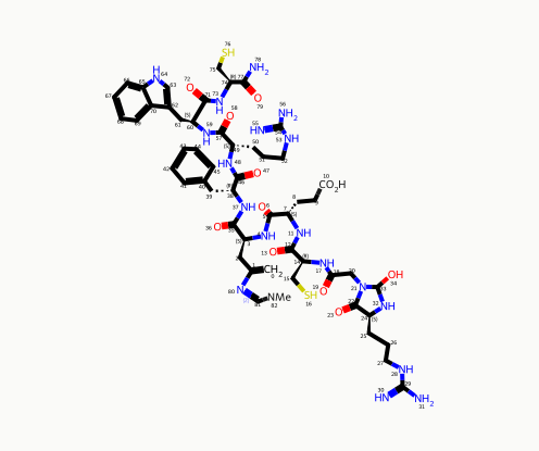 C=C(C[C@H](NC(=O)[C@H](CCC(=O)O)NC(=O)[C@H](CS)NC(=O)CN1C(=O)[C@H](CCCNC(=N)N)NC1O)C(=O)N[C@H](Cc1ccccc1)C(=O)N[C@@H](CCCNC(=N)N)C(=O)N[C@@H](Cc1c[nH]c2ccccc12)C(=O)N[C@@H](CS)C(N)=O)/N=C\NC